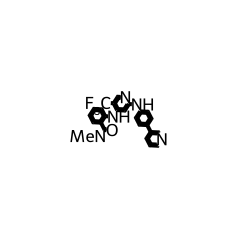 CNC(=O)c1ccccc1Nc1cc(Nc2ccc(-c3cccnc3)cc2)ncc1C(F)(F)F